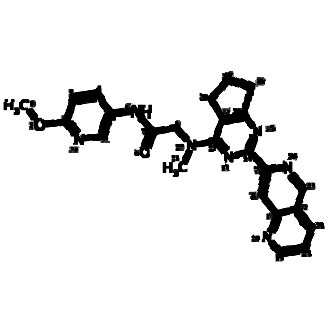 COc1ccc(NC(=O)CN(C)c2nc(-c3cc4ncccc4cn3)nc3c2CCC3)cn1